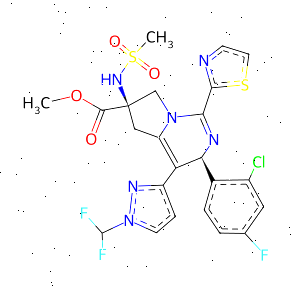 COC(=O)[C@@]1(NS(C)(=O)=O)CC2=C(c3ccn(C(F)F)n3)[C@H](c3ccc(F)cc3Cl)N=C(c3nccs3)N2C1